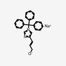 [Na+].[O-]CC=Cc1cn(C(c2ccccc2)(c2ccccc2)c2ccccc2)cn1